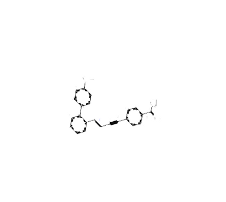 Cc1ccc(-c2ccccc2/C=C/C#Cc2ccc(C(=O)Cl)cc2)cc1